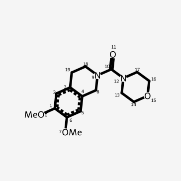 COc1cc2c(cc1OC)CN(C(=O)N1CCOCC1)CC2